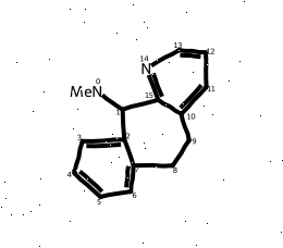 CNC1c2ccccc2CCc2cccnc21